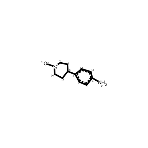 Nc1ccc(C2CC[S+]([O-])CC2)cc1